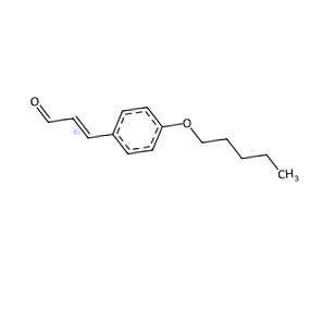 CCCCCOc1ccc(/C=C/C=O)cc1